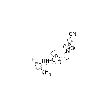 Cc1ccc(F)cc1CNC(=O)[C@H]1CCCN1C(=O)[C@H]1CCCN(S(=O)(=O)N2CC(C#N)C2)C1